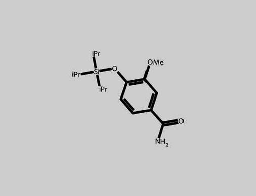 COc1cc(C(N)=O)ccc1O[Si](C(C)C)(C(C)C)C(C)C